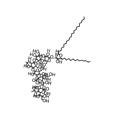 CCCCCCCCCCCCC/C=C/[C@@H](O)[C@H](CO[C@@H]1OC(CO)[C@@H](O[C@@H]2OC(CO)[C@H](O)[C@H](O[C@@H]3OC(CO)[C@@H](O[C@@H]4OC(CO)[C@H](O)[C@H](O[C@]5(C(=O)O)CC(O)[C@@H](NC(=O)CO)C([C@H](O)[C@@H](CO)O[C@]6(C(=O)O)CC(O)[C@@H](NC(C)=O)C([C@H](O)[C@H](O)CO)O6)O5)C4O)[C@H](O)C3NC(C)=O)C2O)[C@H](O)C1O)NC(=O)CCCCCCCCCCCCCCCCCCCCC